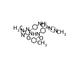 Cc1ccc(Oc2nc(-c3ccc(N)cc3)nc3c2ncn3C)cc1C(=O)Nc1ccc(CN2CCN(C)CC2)c(C(F)(F)F)c1